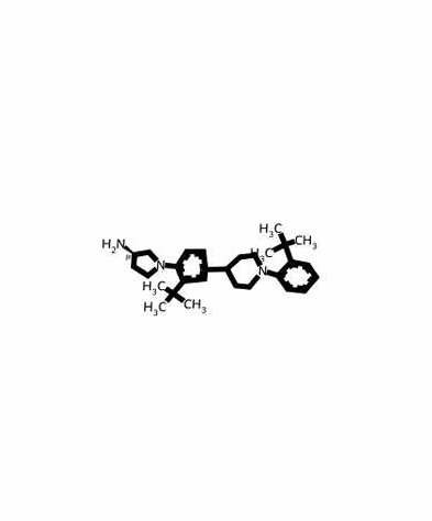 CC(C)(C)c1ccccc1N1CCC(c2ccc(N3CC[C@@H](N)C3)c(C(C)(C)C)c2)CC1